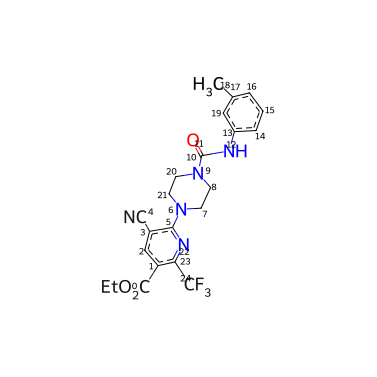 CCOC(=O)c1cc(C#N)c(N2CCN(C(=O)Nc3cccc(C)c3)CC2)nc1C(F)(F)F